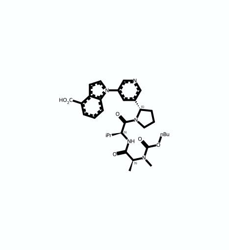 CCCCOC(=O)N(C)[C@@H](C)C(=O)N[C@H](C(=O)N1CCC[C@H]1c1cncc(-n2ccc3c(C(=O)O)cccc32)c1)C(C)C